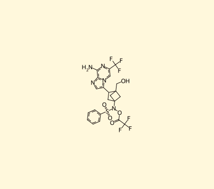 Nc1nc(C(F)(F)F)cn2c(C3CC4(N(OC(=O)C(F)(F)F)S(=O)(=O)c5ccccc5)CC3(CO)C4)cnc12